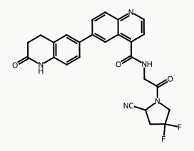 N#CC1CC(F)(F)CN1C(=O)CNC(=O)c1ccnc2ccc(-c3ccc4c(c3)CCC(=O)N4)cc12